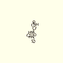 O=C(NCc1cccs1)[C@H](NSc1ccc2[nH]c(=O)ccc2c1)c1ccccc1